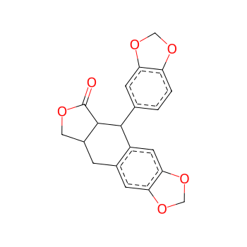 O=C1OCC2Cc3cc4c(cc3C(c3ccc5c(c3)OCO5)C12)OCO4